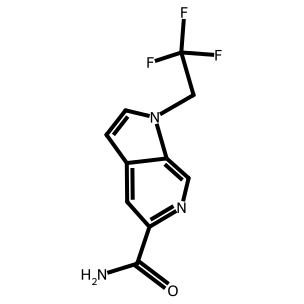 NC(=O)c1cc2ccn(CC(F)(F)F)c2cn1